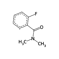 CN(C)C(=O)c1[c]cccc1F